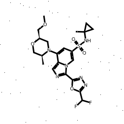 COC[C@H]1CN(c2cc(S(=O)(=O)NC3(C)CC3)cn3c(-c4nnc(C(F)F)o4)ncc23)[C@@H](C)CO1